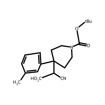 Cc1cccc(C2(C(C#N)C(=O)O)CCN(C(=O)OC(C)(C)C)CC2)c1